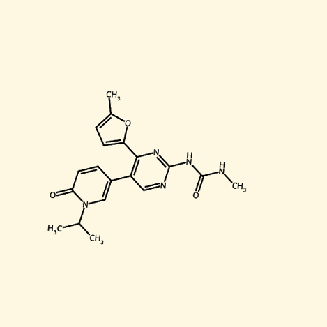 CNC(=O)Nc1ncc(-c2ccc(=O)n(C(C)C)c2)c(-c2ccc(C)o2)n1